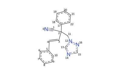 N#CC(C=Cc1ccccc1)(Cn1cncn1)c1ccccc1